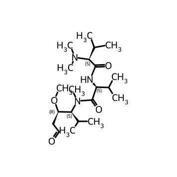 CO[C@H](CC=O)[C@H](C(C)C)N(C)C(=O)[C@@H](NC(=O)[C@H](C(C)C)N(C)C)C(C)C